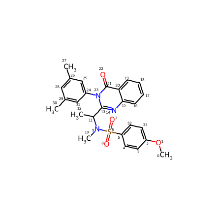 COc1ccc(S(=O)(=O)N(C)C(C)c2nc3ccccc3c(=O)n2-c2cc(C)cc(C)c2)cc1